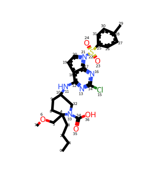 CCCCC1(COC)CCC(Nc2nc(Cl)nc3c2ccn3S(=O)(=O)c2ccc(C)cc2)CN1C(=O)O